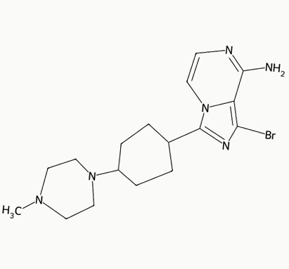 CN1CCN(C2CCC(c3nc(Br)c4c(N)nccn34)CC2)CC1